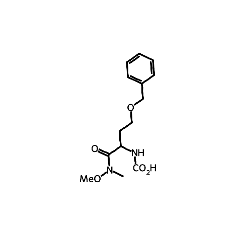 CON(C)C(=O)C(CCOCc1ccccc1)NC(=O)O